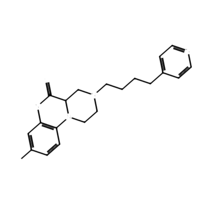 O=C1Nc2cc(F)ccc2N2CCN(CCCCc3ccncc3)CC12